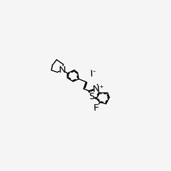 C[n+]1c(C=Cc2ccc(N3CCCCC3)cc2)sc2c(F)cccc21.[I-]